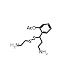 CC(=O)Oc1ccccc1C(CCN)SSCCN